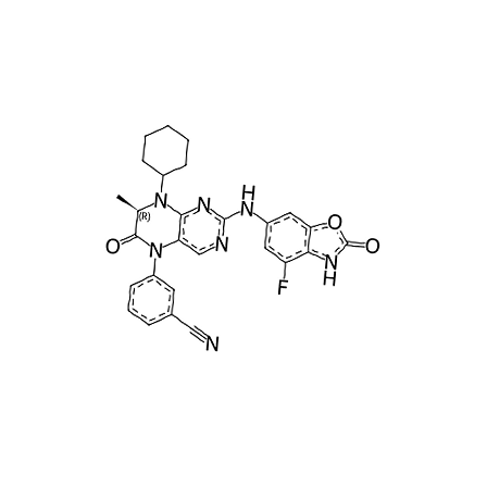 C[C@@H]1C(=O)N(c2cccc(C#N)c2)c2cnc(Nc3cc(F)c4[nH]c(=O)oc4c3)nc2N1C1CCCCC1